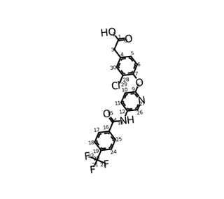 O=C(O)Cc1ccc(Oc2ccc(NC(=O)c3ccc(C(F)(F)F)cc3)cn2)c(Cl)c1